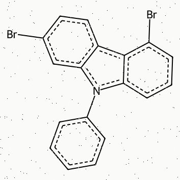 Brc1ccc2c3c(Br)cccc3n(-c3ccccc3)c2c1